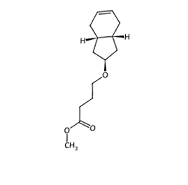 COC(=O)CCCO[C@@H]1C[C@H]2CC=CC[C@H]2C1